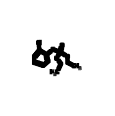 CCOP(=O)(OCC)Oc1ccccc1Cl